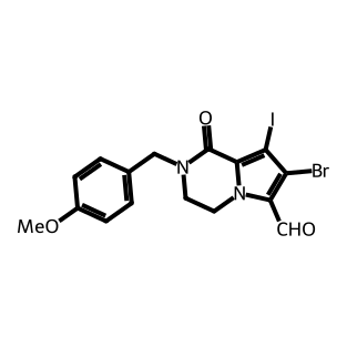 COc1ccc(CN2CCn3c(C=O)c(Br)c(I)c3C2=O)cc1